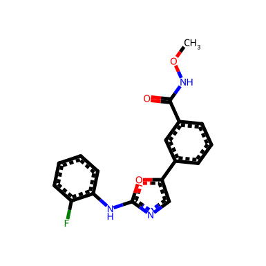 CONC(=O)c1cccc(-c2cnc(Nc3ccccc3F)o2)c1